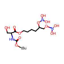 CC(C)(C)OC(=O)NC(CO)C(=O)OCCCCC(CON(O)O)ON(O)O